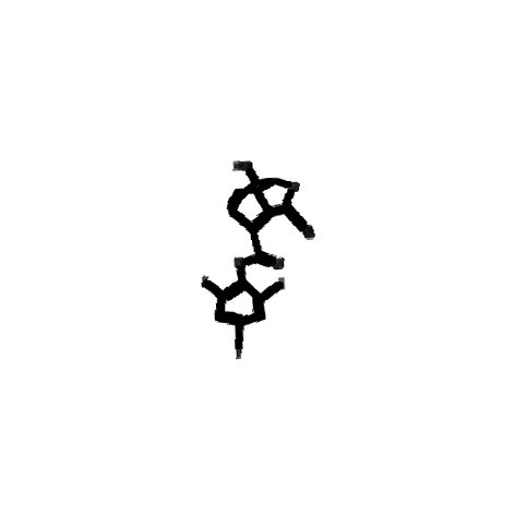 O=C(Oc1c(I)cc(I)cc1I)C1C2CC3C(OC(=O)C31)C2O